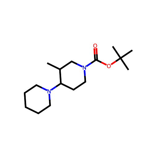 CC1CN(C(=O)OC(C)(C)C)CCC1N1CCCCC1